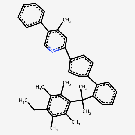 CCc1c(C)c(C)c(C(C)(C)c2ccccc2-c2ccc(-c3cc(C)c(-c4ccccc4)cn3)cc2)c(C)c1C